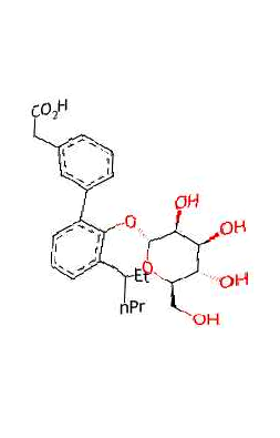 CCCC(CC)c1cccc(-c2cccc(CC(=O)O)c2)c1O[C@H]1O[C@H](CO)[C@@H](O)[C@H](O)[C@@H]1O